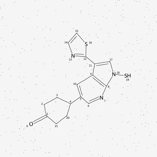 O=C1CCC(c2cnc3c(c2)c(-c2nccs2)cn3S)CC1